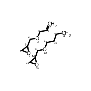 C=CCOCC1CO1.CCCCOCC1CO1